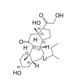 C[C@]12CC[C@@H](O)C[C@H]1CC[C@@H]1[C@@H]2C(=O)C[C@@]2(C)[C@H]1CC[C@]2(O)C(=O)CO.[Li][CH](C)CC